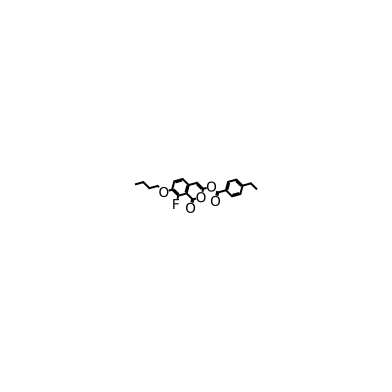 CCCCOc1ccc2cc(OC(=O)c3ccc(CC)cc3)oc(=O)c2c1F